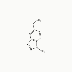 CCc1ccc2c(nnn2C)n1